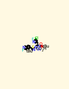 CC(C)(C)OC(=O)N[C@@H](Cc1cnc(F)c(Cl)c1)CN(C(=O)O)c1nc(C(C)(C)C)c(-c2ccc3cnc(F)cc3c2)s1